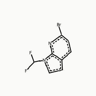 FC(F)n1ccc2ccc(Br)nc21